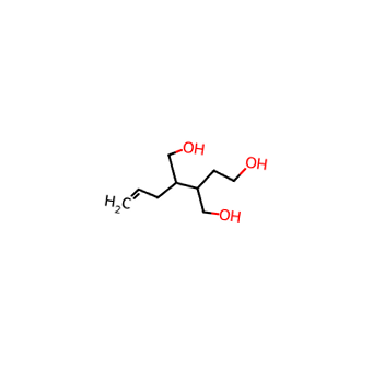 C=CCC(CO)C(CO)CCO